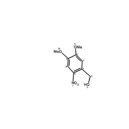 COc1cc(CO)c([N+](=O)[O-])cc1OC